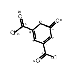 O=C1C=C(C(=O)Cl)C=C(C(=O)Cl)C1